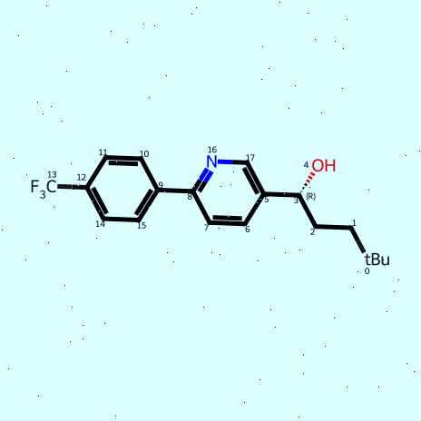 CC(C)(C)CC[C@@H](O)c1ccc(-c2ccc(C(F)(F)F)cc2)nc1